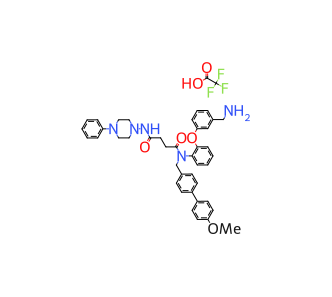 COc1ccc(-c2ccc(CN(C(=O)CCC(=O)NN3CCN(c4ccccc4)CC3)c3ccccc3Oc3cccc(CN)c3)cc2)cc1.O=C(O)C(F)(F)F